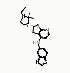 CCN1CC[C@@H](C2Cc3c(Nc4ccc5scnc5c4)ccnc3S2)C1(C)C